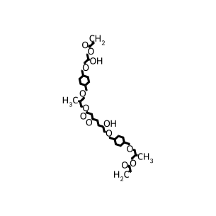 C=CC(=O)OCC(C)COCC1CCC(COCC(O)CCC(=O)CC(=O)OCC(C)COCC2CCC(COCC(O)COC(=O)C=C)CC2)CC1